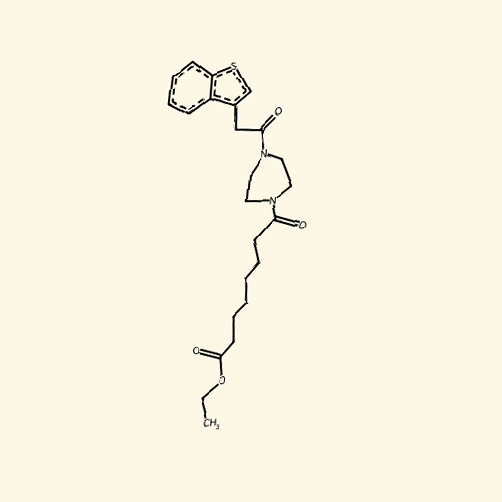 CCOC(=O)CCCCCCC(=O)N1CCN(C(=O)Cc2csc3ccccc23)CC1